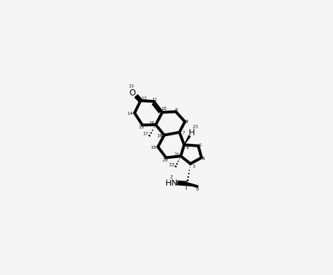 CC(=N)[C@H]1CC[C@H]2C3CCC4=CC(=O)CC[C@]4(C)C3CC[C@]12C